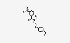 O=Cc1ccc(OCCN2COc3ccc([N+](=O)[O-])cc3C2=O)cc1